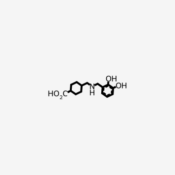 O=C(O)C1CCC(CNCc2cccc(O)c2O)CC1